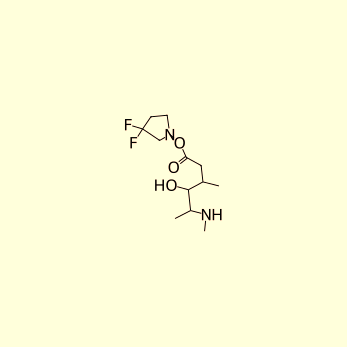 CNC(C)C(O)C(C)CC(=O)ON1CCC(F)(F)C1